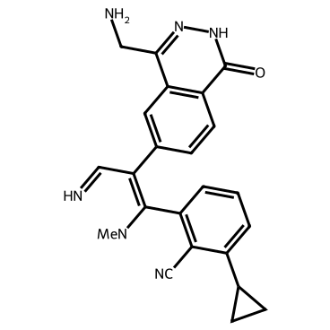 CN/C(=C(\C=N)c1ccc2c(=O)[nH]nc(CN)c2c1)c1cccc(C2CC2)c1C#N